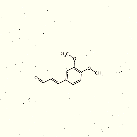 COc1ccc(C=[C]C=O)cc1OC